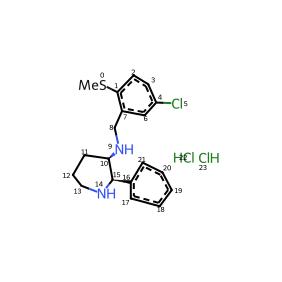 CSc1ccc(Cl)cc1CN[C@@H]1CCCN[C@@H]1c1ccccc1.Cl.Cl